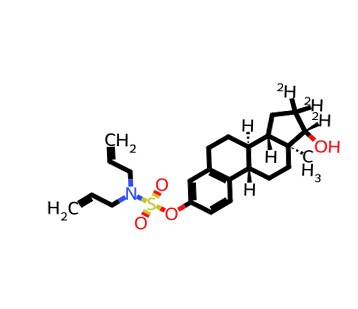 [2H]C1([2H])C[C@H]2[C@@H]3CCc4cc(OS(=O)(=O)N(CC=C)CC=C)ccc4[C@H]3CC[C@]2(C)[C@@]1([2H])O